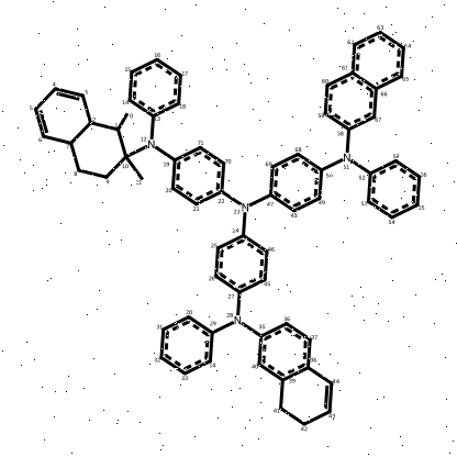 CC1C2C=CC=CC2CCC1(C)N(c1ccccc1)c1ccc(N(c2ccc(N(c3ccccc3)c3ccc4c(c3)CCC=C4)cc2)c2ccc(N(c3ccccc3)c3ccc4ccccc4c3)cc2)cc1